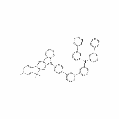 CC1C=C2C(=CC1)c1cc3c4ccccc4n(-c4ccc(-c5cccc(-c6cccc(N(c7cccc(-c8ccccc8)c7)c7cccc(-c8ccccc8)c7)c6)c5)cc4)c3cc1C2(C)C